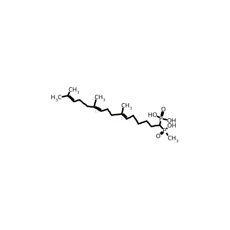 CC(C)=CCC/C(C)=C/CC/C(C)=C/CCCCC(P(C)(=O)O)P(=O)(O)O